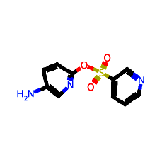 Nc1ccc(OS(=O)(=O)c2c[c]cnc2)nc1